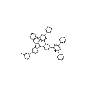 Cc1cccc(-c2ccc3c(c2)c2ccccc2n3-c2ccc(-c3nc(-c4ccccc4)nc(-c4ccccc4)n3)cc2-c2nc(-c3ccccc3)cc(-c3ccccc3)n2)c1